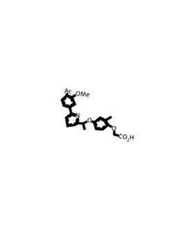 COc1cc(-c2cccc(C(C)Oc3ccc(OCC(=O)O)c(C)c3)n2)ccc1C(C)=O